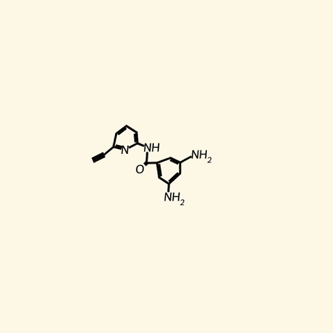 C#Cc1cccc(NC(=O)c2cc(N)cc(N)c2)n1